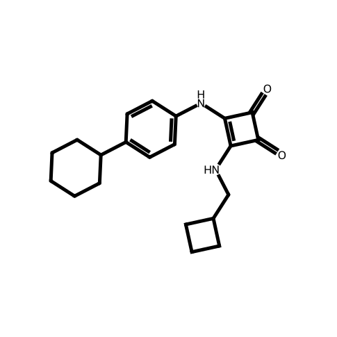 O=c1c(NCC2CCC2)c(Nc2ccc(C3CCCCC3)cc2)c1=O